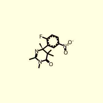 CC1=N[C@](C)(c2cc([N+](=O)[O-])ccc2F)C(C)(C)C(=O)N1C